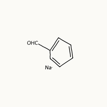 O=Cc1ccccc1.[Na]